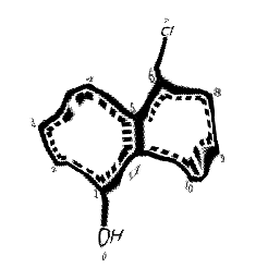 Oc1cccc2c(Cl)cccc12